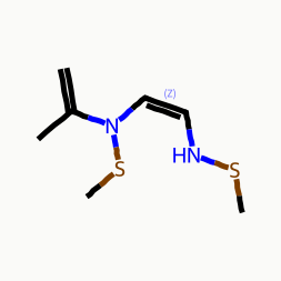 C=C(C)N(/C=C\NSC)SC